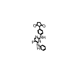 O=C1CCC(=O)C1c1ccc(Nc2ncc(F)c(Nc3ccccc3)n2)cc1